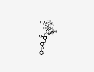 CC(CCCc1ccc(Sc2cccc(OCc3ccccc3)c2)cc1Cl)(CCP(=O)(O)O)NC(=O)OC(C)(C)C